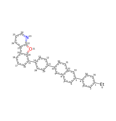 CCc1ccc(-c2ccc3cc(-c4ccc(-c5cccc6c5oc5ncccc56)cc4)ccc3c2)cc1